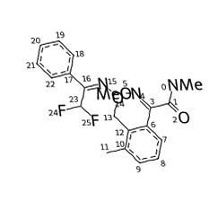 CNC(=O)/C(=N/OC)c1cccc(C)c1CO/N=C(/c1ccccc1)C(F)F